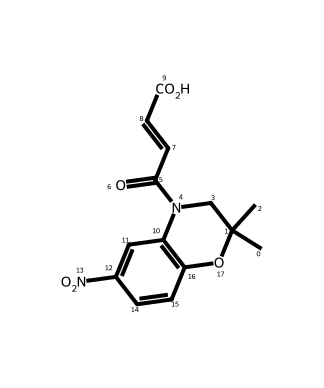 CC1(C)CN(C(=O)C=CC(=O)O)c2cc([N+](=O)[O-])ccc2O1